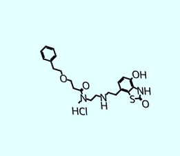 CN(CCNCCc1ccc(O)c2[nH]c(=O)sc12)C(=O)CCOCCc1ccccc1.Cl